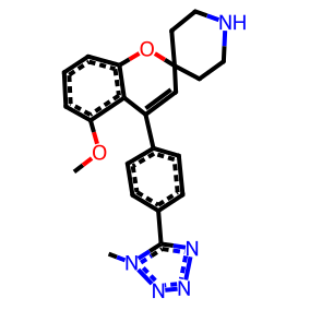 COc1cccc2c1C(c1ccc(-c3nnnn3C)cc1)=CC1(CCNCC1)O2